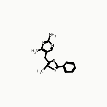 Cc1nc(-c2ccccc2)sc1Cc1cnc(N)nc1N